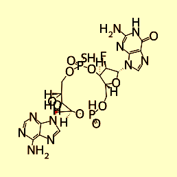 Nc1nc2c(ncn2[C@@H]2O[C@@H]3CO[PH](=O)O[C@@H]4[C@H](O)[C@@H](CO[P@](=O)(S)O[C@H]3[C@H]2F)O[C@H]4n2cnc3c(N)ncnc32)c(=O)[nH]1